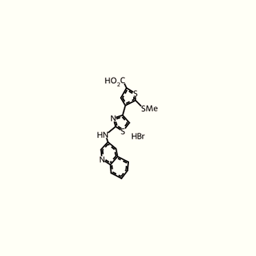 Br.CSc1sc(C(=O)O)cc1-c1csc(Nc2cnc3ccccc3c2)n1